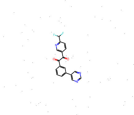 O=C(C(=O)c1cccc(-c2cncnc2)c1)c1ccc(C(F)F)nc1